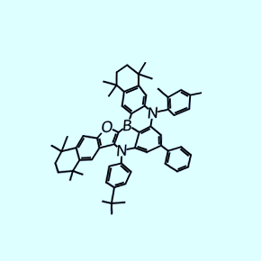 Cc1ccc(N2c3cc4c(cc3B3c5oc6cc7c(cc6c5N(c5ccc(C(C)(C)C)cc5)c5cc(-c6ccccc6)cc2c53)C(C)(C)CCC7(C)C)C(C)(C)CCC4(C)C)c(C)c1